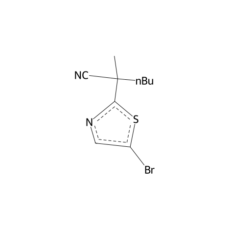 CCCCC(C)(C#N)c1ncc(Br)s1